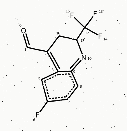 O=CC1=c2cc(F)ccc2=NC(C(F)(F)F)C1